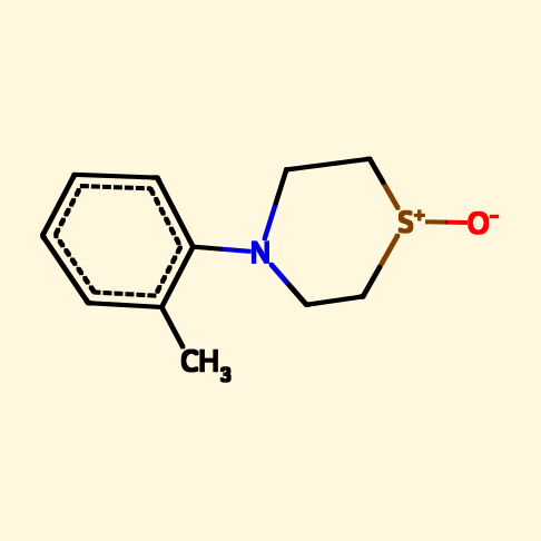 Cc1ccccc1N1CC[S+]([O-])CC1